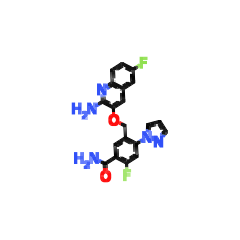 NC(=O)c1cc(COc2cc3cc(F)ccc3nc2N)c(-n2cccn2)cc1F